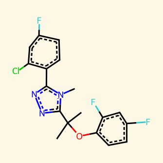 Cn1c(-c2ccc(F)cc2Cl)nnc1C(C)(C)Oc1ccc(F)cc1F